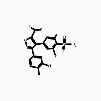 Cc1ccc(-c2noc(C(F)F)c2-c2cc(F)c(S(N)(=O)=O)c(F)c2)cc1Cl